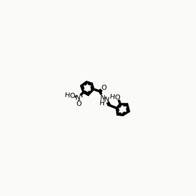 O=C(N/N=C/c1ccccc1O)c1cccc([N+](=O)O)c1